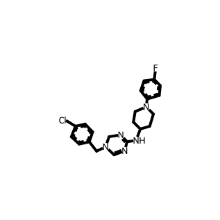 Fc1ccc(N2CCC(NC3=NCN(Cc4ccc(Cl)cc4)C=N3)CC2)cc1